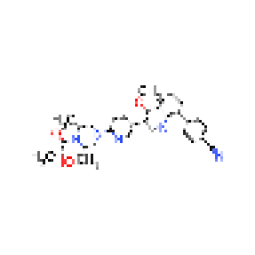 COc1c(-c2ccc(N3CC(C)N(C(=O)C(C)O)[C@@H](C)C3)nc2)cnc2c(-c3ccc(C#N)cc3)cccc12